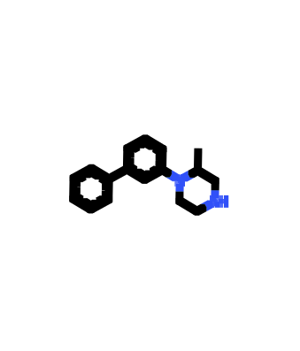 CC1CNCCN1c1cccc(-c2ccccc2)c1